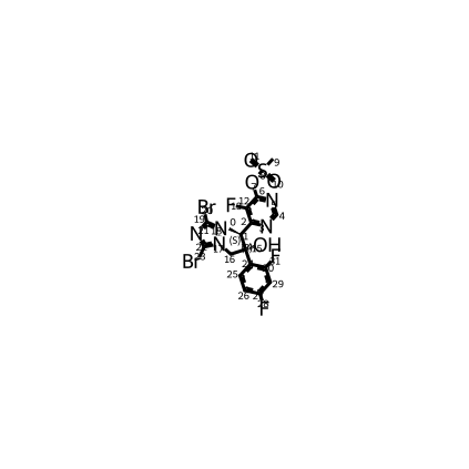 C[C@@H](c1ncnc(OS(C)(=O)=O)c1F)[C@](O)(Cn1nc(Br)nc1Br)c1ccc(F)cc1F